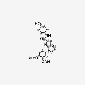 COc1ccc(-c2ccnc3cc(C(=O)N[C@H]4CC[C@H](O)CC4)nn23)cc1OC